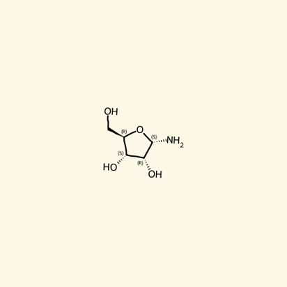 N[C@H]1O[C@H](CO)[C@@H](O)[C@H]1O